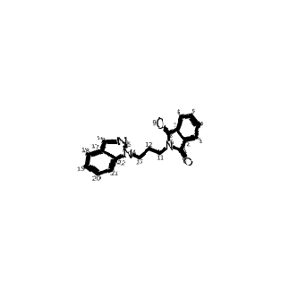 O=C1c2ccccc2C(=O)N1CCCn1ncc2ccccc21